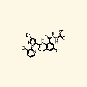 CSC(=O)NN(C)C(=O)c1cc(Cl)cc(C)c1NC(=O)c1cc(Br)nn1-c1ncccc1Cl